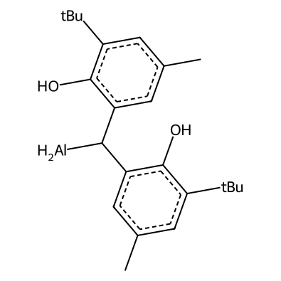 Cc1cc([CH]([AlH2])c2cc(C)cc(C(C)(C)C)c2O)c(O)c(C(C)(C)C)c1